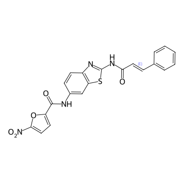 O=C(/C=C/c1ccccc1)Nc1nc2ccc(NC(=O)c3ccc([N+](=O)[O-])o3)cc2s1